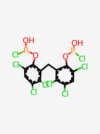 OP(Cl)Oc1c(Cl)cc(Cl)c(Cl)c1Cc1c(Cl)c(Cl)cc(Cl)c1OP(O)Cl